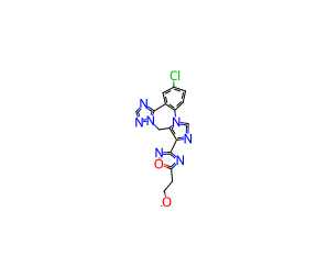 COCCc1nc(-c2ncn3c2Cn2ncnc2-c2cc(Cl)ccc2-3)no1